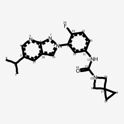 CC(C)c1cnc2nn(-c3cc(NC(=O)N4CC5(CC5)C4)ccc3F)cc2c1